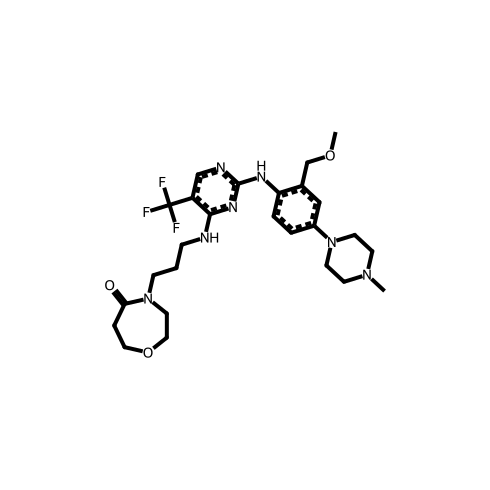 COCc1cc(N2CCN(C)CC2)ccc1Nc1ncc(C(F)(F)F)c(NCCCN2CCOCCC2=O)n1